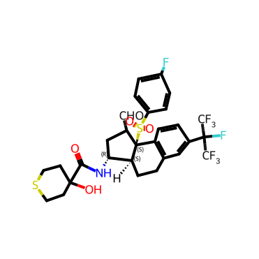 O=CC1C[C@@H](NC(=O)C2(O)CCSCC2)[C@@H]2CCc3cc(C(F)(C(F)(F)F)C(F)(F)F)ccc3[C@@]12S(=O)(=O)c1ccc(F)cc1